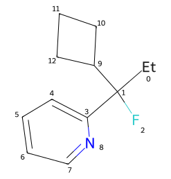 CCC(F)(c1ccccn1)C1CCC1